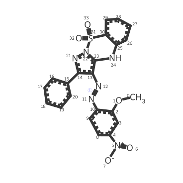 COc1cc([N+](=O)[O-])ccc1/N=N/c1c(-c2ccccc2)nn2c1Nc1ccccc1S2(=O)=O